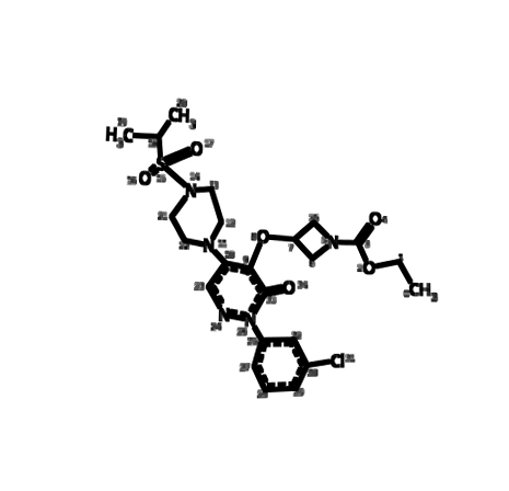 CCOC(=O)N1CC(Oc2c(N3CCN(S(=O)(=O)C(C)C)CC3)cnn(-c3cccc(Cl)c3)c2=O)C1